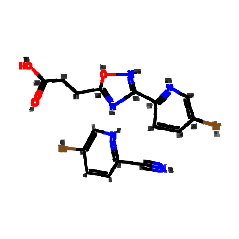 N#Cc1ccc(Br)cn1.O=C(O)CCc1nc(-c2ccc(Br)cn2)no1